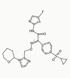 O=C(Nc1ncc(F)s1)/C(=N/OCc1nccn1C1CCCCO1)c1ccc(S(=O)(=O)C2CC2)cc1